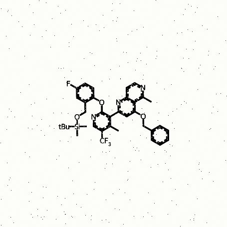 Cc1c(C(F)(F)F)cnc(Oc2ccc(F)cc2CO[Si](C)(C)C(C)(C)C)c1-c1cc(OCc2ccccc2)c2c(C)nccc2n1